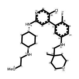 COCCN[C@H]1CC[C@H](Nc2cc(-c3cc(NCC4(C)CCOCC4)ccc3F)c(Cl)cn2)CC1